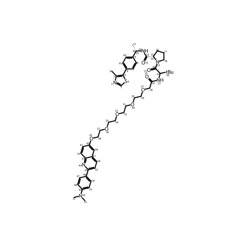 Cc1ncsc1-c1ccc([C@H](C)NC(=O)[C@@H]2CCCN2C(=O)C(NC(=O)COCCOCCOCCOCCOc2ccc3nc(-c4ccc(N(C)C)cc4)ccc3c2)C(C)(C)C)cc1